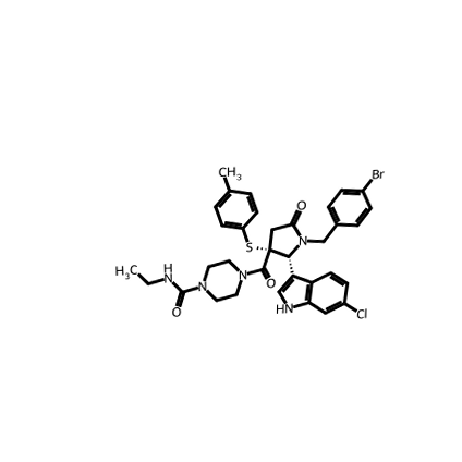 CCNC(=O)N1CCN(C(=O)[C@@]2(Sc3ccc(C)cc3)CC(=O)N(Cc3ccc(Br)cc3)[C@@H]2c2c[nH]c3cc(Cl)ccc23)CC1